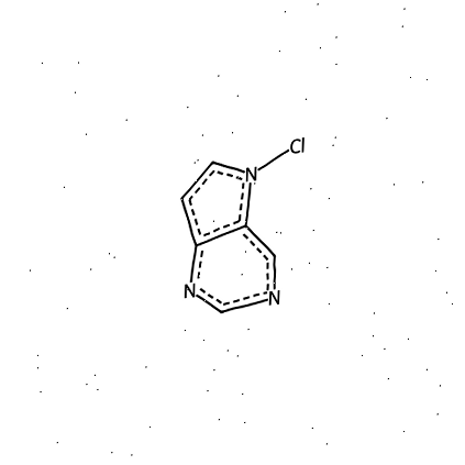 Cln1ccc2ncncc21